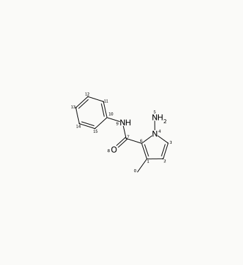 Cc1ccn(N)c1C(=O)Nc1ccccc1